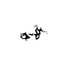 CC(C)Oc1cc2c(OCC[C@@]34CNCC[C@@H]3C4)nccc2cc1C(N)=O